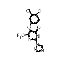 O=c1[nH]c(-n2cncn2)nc(C(F)(F)F)c1Oc1ccc(Cl)c(Cl)c1